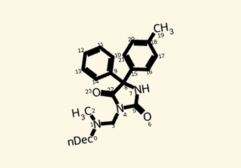 CCCCCCCCCCN(C)CN1C(=O)NC(c2ccccc2)(c2ccc(C)cc2)C1=O